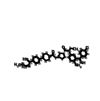 CCN(C(=O)[C@@H]1CCN(CC(=O)N2CC=C(c3ccc(C(=N)/N=C\NC)cc3)CC2)C1)c1ccc(N)c(C(=N)c2ccc(Cl)cc2)n1